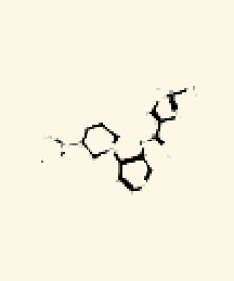 CC(C)(C)N(C(=O)O)[C@H]1CCCN(c2ccncc2NC(=O)c2csc(Br)n2)C1